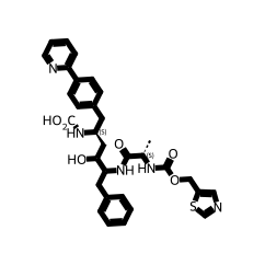 C[C@H](NC(=O)OCc1cncs1)C(=O)NC(Cc1ccccc1)C(O)C[C@H](Cc1ccc(-c2ccccn2)cc1)NC(=O)O